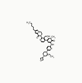 CCCCCc1cc2n(c1)CCN(c1nccc(-c3cc(Nc4ccc(N5CCN(C6COC6)C[C@@H]5CC)cn4)c(=O)n(C)c3)c1CO)C2=O